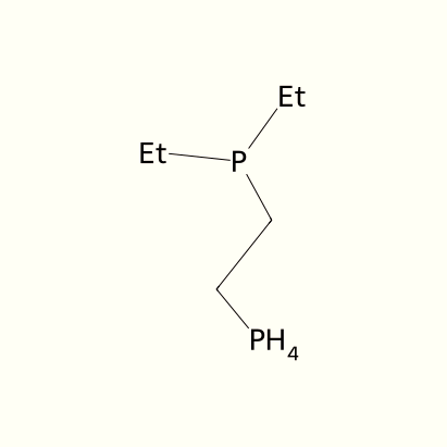 CCP(CC)CC[PH4]